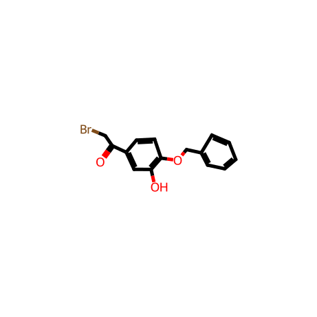 O=C(CBr)c1ccc(OCc2ccccc2)c(O)c1